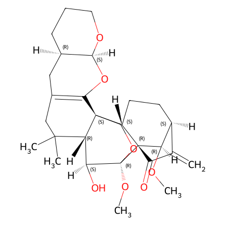 C=C1C(=O)[C@]23[C@H](OC)[C@H]1CC[C@H]2[C@@]12CO[C@@]3(OC)[C@@H](O)[C@@H]1C(C)(C)CC1=C2O[C@@H]2OCCC[C@@H]2C1